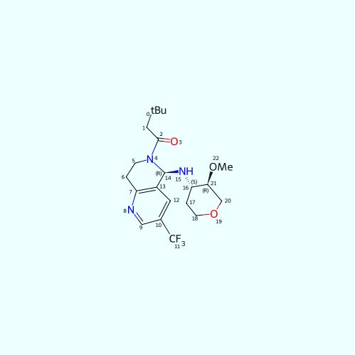 [CH2]C(C)(C)CC(=O)N1CCc2ncc(C(F)(F)F)cc2[C@@H]1N[C@H]1CCOC[C@@H]1OC